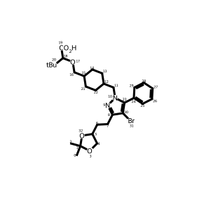 CC1(C)OCC(CCc2nn(CC3CCC(COC(C(=O)O)C(C)(C)C)CC3)c(-c3ccccc3)c2Br)O1